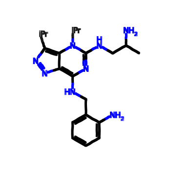 CC(N)CNc1nc(NCc2ccccc2N)c2nnc(C(C)C)c-2n1C(C)C